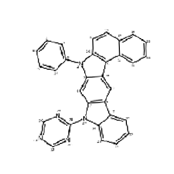 c1ccc(-n2c3cc4c(cc3c3c5ccccc5ccc32)c2ccccc2n4-c2ncncn2)cc1